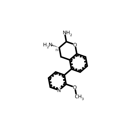 COc1ncccc1-c1cccc2c1C[C@H](N)C(N)O2